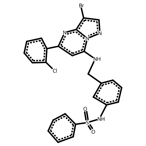 O=S(=O)(Nc1cccc(CNc2cc(-c3ccccc3Cl)nc3c(Br)cnn23)c1)c1ccccc1